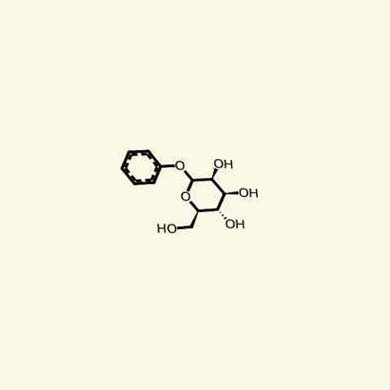 OC[C@H]1OC(Oc2ccccc2)[C@@H](O)[C@@H](O)[C@@H]1O